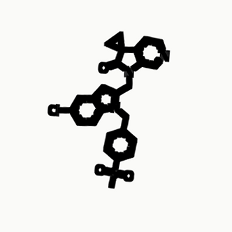 CS(=O)(=O)c1ccc(Cn2c(CN3C(=O)C4(CC4)c4ccncc43)cc3cc(Cl)ccc32)cc1